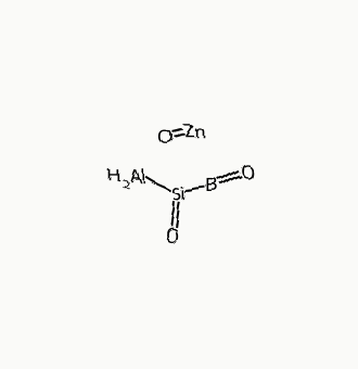 O=B[Si](=O)[AlH2].[O]=[Zn]